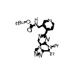 CC[C@@H]1c2nncn2-c2cnc(-c3ccncc3CNC(=O)OC(C)(C)C)nc2N1C(C)C